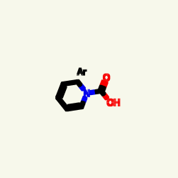 O=C(O)N1C=CC=CC1.[Ar]